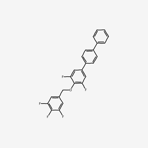 Fc1cc(COc2c(F)cc(-c3ccc(-c4ccccc4)cc3)cc2F)cc(F)c1F